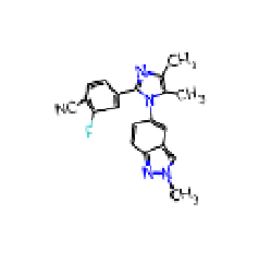 Cc1nc(-c2ccc(C#N)c(F)c2)n(-c2ccc3nn(C)cc3c2)c1C